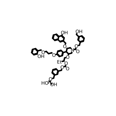 CCC(COC1CN(C(=O)OCc2cccc(CO)c2)CC(OCc2cc(O)c3ccccc3c2)C1c1ccc(OCCCOCc2ccccc2O)cc1)OC(=O)OCc1cccc(CON(O)O)c1